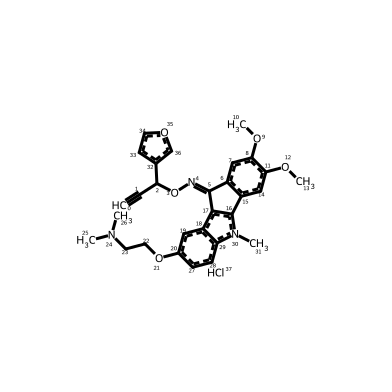 C#CC(O/N=C1/c2cc(OC)c(OC)cc2-c2c1c1cc(OCCN(C)C)ccc1n2C)c1ccoc1.Cl